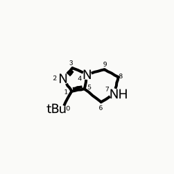 CC(C)(C)c1ncn2c1CNCC2